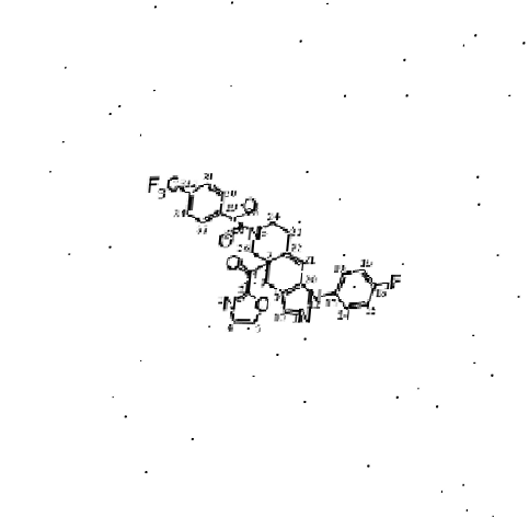 O=C(c1ncco1)C12Cc3cnn(-c4ccc(F)cc4)c3C=C1CCN(S(=O)(=O)c1ccc(C(F)(F)F)cc1)C2